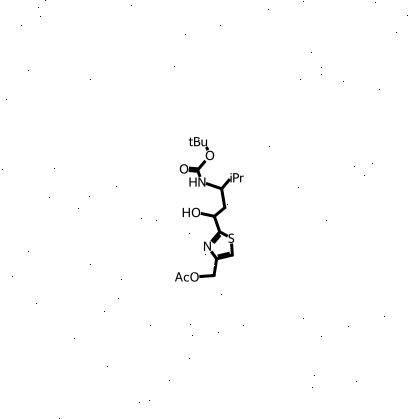 CC(=O)OCc1csc(C(O)CC(NC(=O)OC(C)(C)C)C(C)C)n1